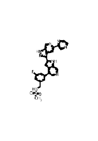 CS(=O)(=O)NCc1cc(F)cc(-c2cncc3[nH]c(-c4n[nH]c5cnc(-c6cnccn6)cc45)cc23)c1